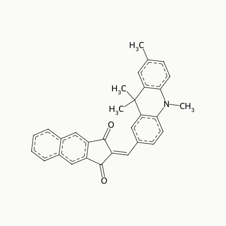 Cc1ccc2c(c1)C(C)(C)c1cc(C=C3C(=O)c4cc5ccccc5cc4C3=O)ccc1N2C